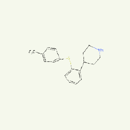 FC(F)(F)c1ccc(Sc2ccccc2C2CCNCC2)cc1